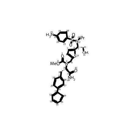 COC(=O)N(Cc1ccc([C@@H](CO)N(C(C)C)S(=O)(=O)c2ccc(N)cc2)s1)[C@@H](Cc1ccc(-c2ccccc2)cc1)C(N)=O